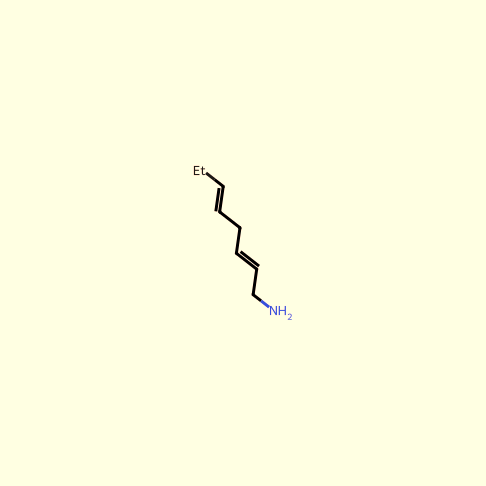 CC/C=C/C/C=C/CN